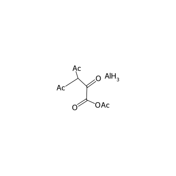 CC(=O)OC(=O)C(=O)C(C(C)=O)C(C)=O.[AlH3]